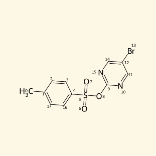 Cc1ccc(S(=O)(=O)Oc2ncc(Br)cn2)cc1